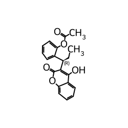 CC[C@H](c1ccccc1OC(C)=O)c1c(O)c2ccccc2oc1=O